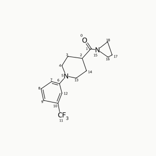 O=C(C1CCN(c2cccc(C(F)(F)F)c2)CC1)N1CCC1